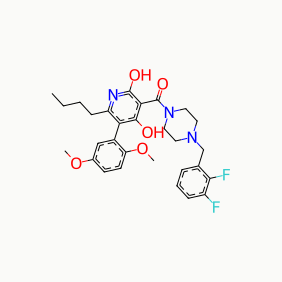 CCCCc1nc(O)c(C(=O)N2CCN(Cc3cccc(F)c3F)CC2)c(O)c1-c1cc(OC)ccc1OC